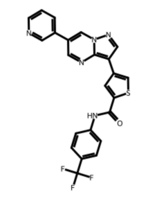 O=C(Nc1ccc(C(F)(F)F)cc1)c1cc(-c2cnn3cc(-c4cccnc4)cnc23)cs1